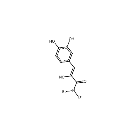 CCN(CC)C(=O)/C(C#N)=C/c1ccc(O)c(O)c1